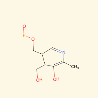 CC1=C(O)C(CO)C(COP=O)C=N1